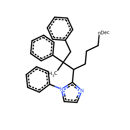 CCCCCCCCCCCCCC(c1nccn1-c1ccccc1)C(C)(Cc1ccccc1)c1ccccc1